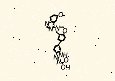 COc1ccc2ncnc(N3CCOc4ccc(-c5ccc6nc(N(C)C(=O)O)[nH]c6c5)cc4C3)c2c1